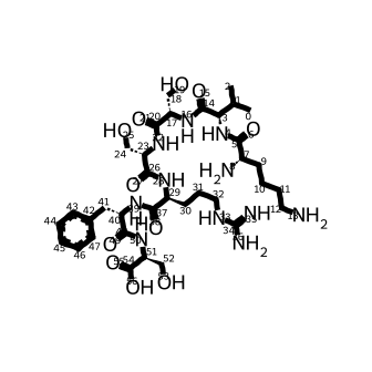 CC(C)[C@H](NC(=O)[C@@H](N)CCCCN)C(=O)N[C@@H](CO)C(=O)N[C@@H](CO)C(=O)N[C@@H](CCCNC(=N)N)C(=O)N[C@@H](Cc1ccccc1)C(=O)N[C@@H](CO)C(=O)O